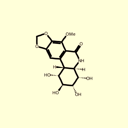 COc1c2c(cc3c1C(=O)N[C@H]1[C@H](O)[C@H](O)[C@@H](O)[C@H](O)[C@H]31)OCO2